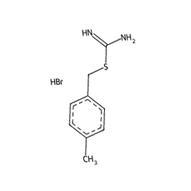 Br.Cc1ccc(CSC(=N)N)cc1